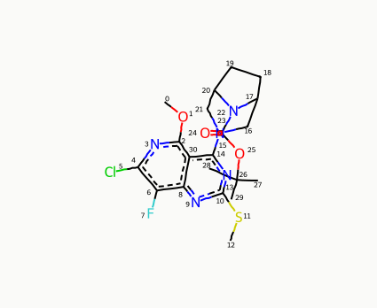 COc1nc(Cl)c(F)c2nc(SC)nc(N3CC4CCC(C3)N4C(=O)OC(C)(C)C)c12